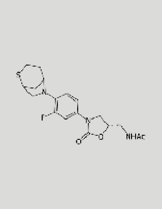 CC(=O)NC[C@H]1CN(c2ccc(N3CC4CC3CCS4)c(F)c2)C(=O)O1